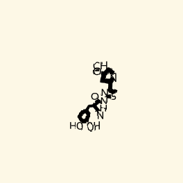 COc1ccnc(-c2csc(NC(=O)C(C#N)Cc3ccc(O)c(O)c3)n2)c1